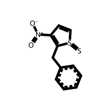 O=[N+]([O-])C1=C(Cc2ccccc2)S(=S)C=C1